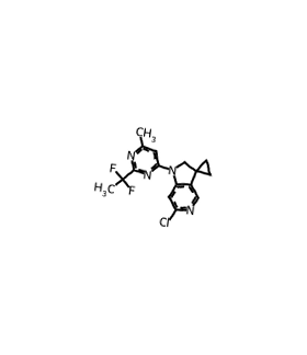 Cc1cc(N2CC3(CC3)c3cnc(Cl)cc32)nc(C(C)(F)F)n1